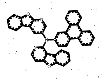 c1ccc2c(c1)oc1ncc(N(c3ccc4c5ccccc5c5ccccc5c4c3)c3nccc4oc5ccccc5c34)cc12